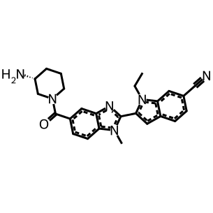 CCn1c(-c2nc3cc(C(=O)N4CCC[C@@H](N)C4)ccc3n2C)cc2ccc(C#N)cc21